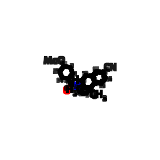 COC1CCC(C(=O)N2CC[C@@]3(C)c4ccc(C#N)cc4C[C@@H]2C3(C)C)CC1